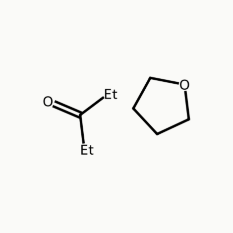 C1CCOC1.CCC(=O)CC